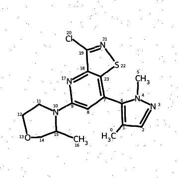 Cc1cnn(C)c1-c1cc(N2CCOCC2C)nc2c(Cl)nsc12